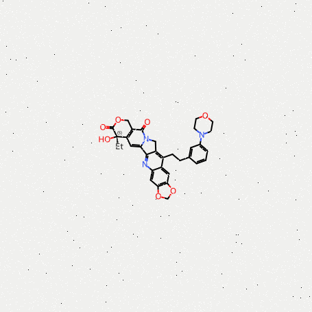 CC[C@@]1(O)C(=O)OCc2c1cc1n(c2=O)Cc2c-1nc1cc3c(cc1c2CCc1cccc(N2CCOCC2)c1)OCO3